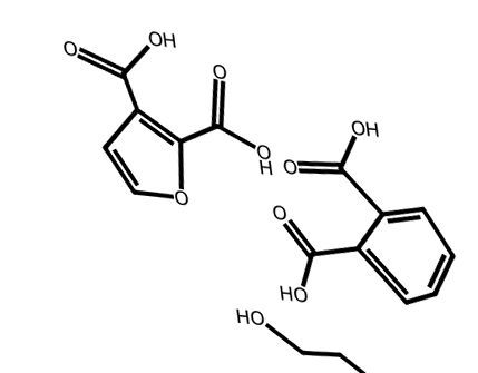 O=C(O)c1ccccc1C(=O)O.O=C(O)c1ccoc1C(=O)O.OCCO